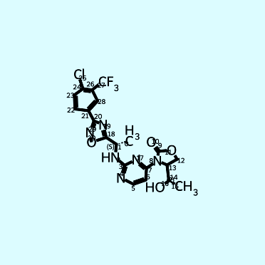 C[C@H](Nc1nccc(N2C(=O)OCC2[C@@H](C)O)n1)c1nc(-c2ccc(Cl)c(C(F)(F)F)c2)no1